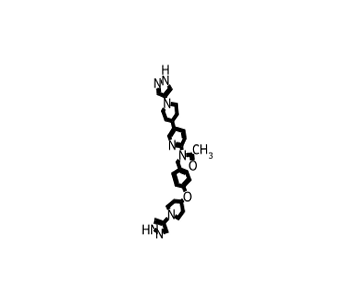 CC(=O)N(Cc1ccc(OC2CCN(c3cn[nH]c3)CC2)cc1)c1ccc(C2CCN(c3cn[nH]c3)CC2)cn1